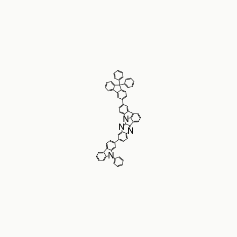 c1ccc(-n2c3ccccc3c3ccc(-c4ccc5nc6c7cccc8c9cc(-c%10ccc%11c(c%10)-c%10ccccc%10C%11(c%10ccccc%10)c%10ccccc%10)ccc9n(c6nc5c4)c87)cc32)cc1